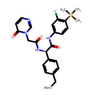 COCc1ccc([C@@H](NC(=O)Cn2cnccc2=O)C(=O)Nc2ccc(S(C)(C)C)c(F)c2)cc1